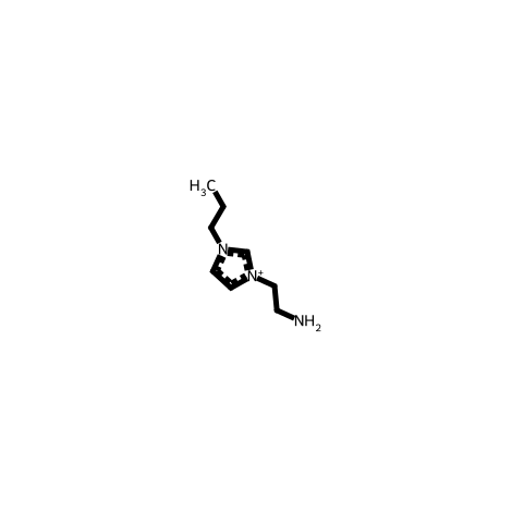 CCCn1cc[n+](CCN)c1